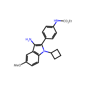 CCOC(=O)Nc1ccc(-c2c(N)c3cc(OC)ccc3n2C2CCC2)cc1